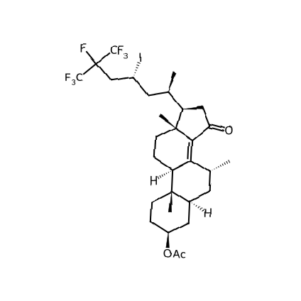 CC(=O)O[C@H]1CC[C@@]2(C)[C@H](C1)C[C@@H](C)C1=C3C(=O)C[C@H]([C@H](C)C[C@@H](I)CC(F)(C(F)(F)F)C(F)(F)F)[C@@]3(C)CC[C@@H]12